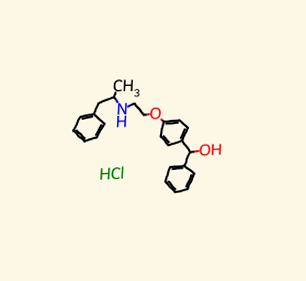 CC(Cc1ccccc1)NCCOc1ccc(C(O)c2ccccc2)cc1.Cl